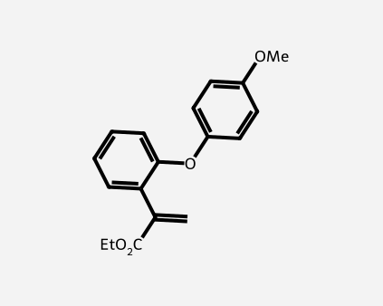 C=C(C(=O)OCC)c1ccccc1Oc1ccc(OC)cc1